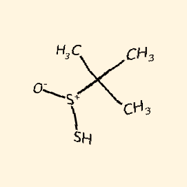 CC(C)(C)[S+]([O-])S